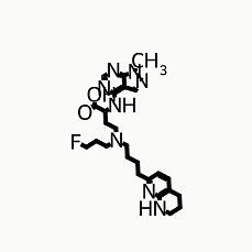 Cn1ncc2c(NC(CCN(CCCF)CCCCc3ccc4c(n3)NCCC4)C(=O)O)ncnc21